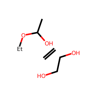 C=C.CCOC(C)O.OCCO